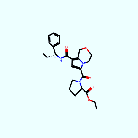 CCOC(=O)C1CCCN1C(=O)c1cc(C(=O)N[C@H](CC)c2ccccc2)c2n1CCOC2